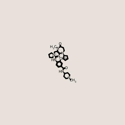 COc1cc(C(=O)NC2CCN(C)CC2)ccc1NC1=NC2=C(C[N+]13CCCC3)N(C)C(=O)CCN2C1CCCC1